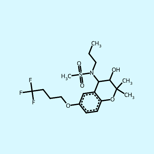 CCCN(C1c2cc(OCCCC(F)(F)F)ccc2OC(C)(C)C1O)S(C)(=O)=O